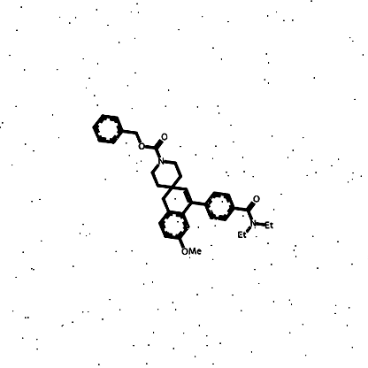 CCN(CC)C(=O)c1ccc(C2=CC3(CCN(C(=O)OCc4ccccc4)CC3)Cc3ccc(OC)cc32)cc1